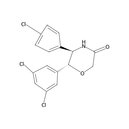 O=C1CO[C@H](c2cc(Cl)cc(Cl)c2)[C@@H](c2ccc(Cl)cc2)N1